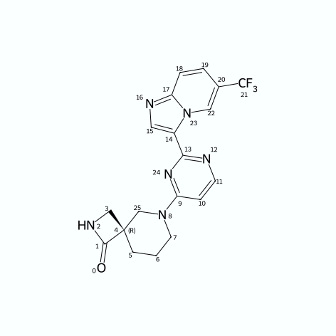 O=C1NC[C@@]12CCCN(c1ccnc(-c3cnc4ccc(C(F)(F)F)cn34)n1)C2